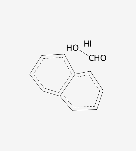 I.O=CO.c1ccc2ccccc2c1